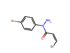 CC/C=C\C(=O)N(N)c1ccc(Br)cc1